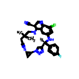 [2H][C@](Nc1cc(Cl)c2ncc(C#N)c(NCC(C)(C)CC#N)c2c1)(c1ccc(F)cc1)c1cn(C2CC2)nn1